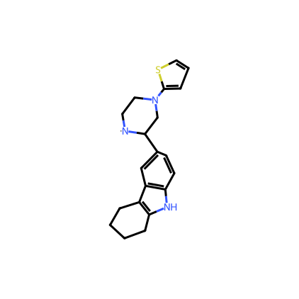 c1csc(N2CC[N]C(c3ccc4[nH]c5c(c4c3)CCCC5)C2)c1